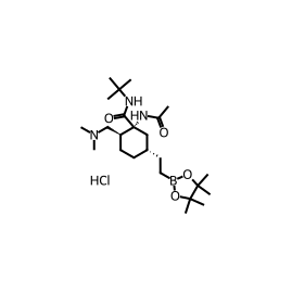 CC(=O)N[C@]1(C(=O)NC(C)(C)C)C[C@H](CCB2OC(C)(C)C(C)(C)O2)CC[C@H]1CN(C)C.Cl